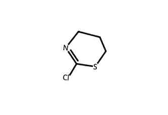 ClC1=NCCCS1